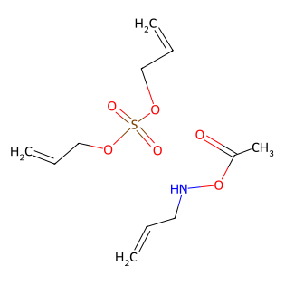 C=CCNOC(C)=O.C=CCOS(=O)(=O)OCC=C